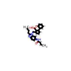 CCCCc1nc2ccc(NC(=O)CCC)cc2n1Cc1cccc(-c2ccccc2)c1C(=O)O